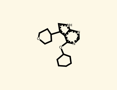 c1nc(OC2CCCCC2)c2c(C3CCOCC3)c[nH]c2n1